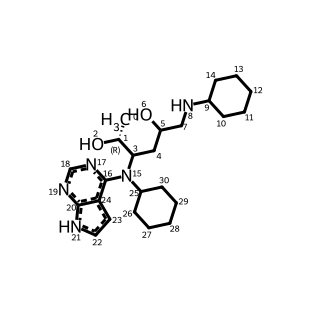 C[C@@H](O)C(CC(O)CNC1CCCCC1)N(c1ncnc2[nH]ccc12)C1CCCCC1